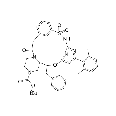 Cc1cccc(C)c1-c1cc2nc(n1)NS(=O)(=O)c1cccc(c1)CC(=O)N1CCN(C(=O)OC(C)(C)C)CC1C(Cc1ccccc1)O2